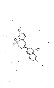 COc1ccc2c(c1)S(=O)(=O)CCN(c1cc(Cl)c3cc(C)ccc3n1)C2